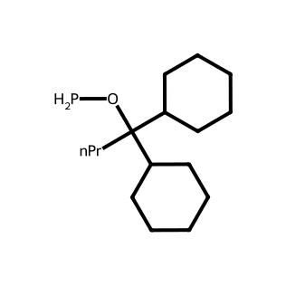 CCCC(OP)(C1CCCCC1)C1CCCCC1